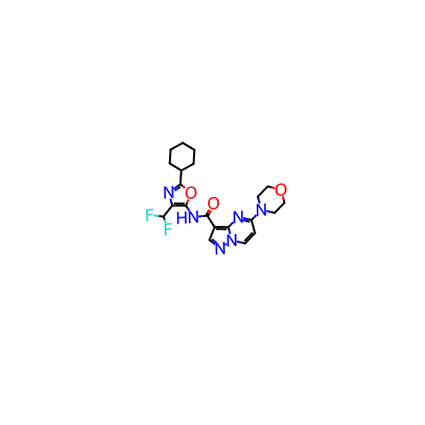 O=C(Nc1oc(C2CCCCC2)nc1C(F)F)c1cnn2ccc(N3CCOCC3)nc12